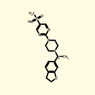 C[C@@H](c1ccc2c(c1)OCC2)N1CCN(c2ncc(S(C)(=N)=O)cn2)CC1